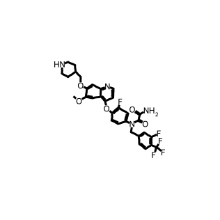 COc1cc2c(Oc3ccc(N(Cc4ccc(C(F)(F)F)c(F)c4)C(=O)C(N)=O)cc3F)ccnc2cc1OCC1CCNCC1